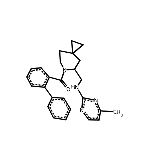 Cc1ccnc(NCC2CC3(CCN2C(=O)c2ccccc2-c2ccccc2)CC3)n1